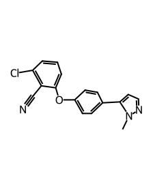 Cn1nccc1-c1ccc(Oc2cccc(Cl)c2C#N)cc1